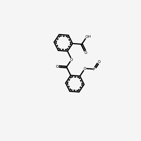 O=POc1ccccc1C(=O)Oc1ccccc1C(=O)O